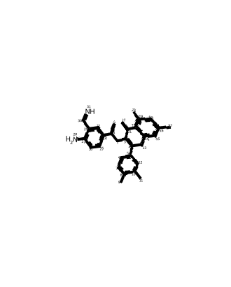 C=C(CC1=C(c2ccc(C)c(C)c2)Cc2cc(C)cc(C)c2C1=C)c1ccc(N)c(C=N)c1